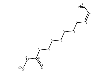 CCCCCC/C=C\CCCCCCCC(=O)OCCCCCCCC